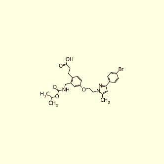 Cc1cc(-c2ccc(Br)cc2)nn1CCOc1ccc(CCC(=O)O)c(CNC(=O)OC(C)C)c1